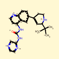 CC(C)(C)C1C=C(c2ccc3nccc(NC(=O)Nc4cnccn4)c3c2)CCN1